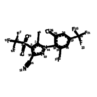 Cc1c(S(=O)(=O)C(F)(F)F)c(C#N)nn1-c1c(F)cc(C(F)(F)F)cc1Cl